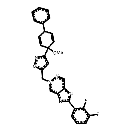 COC1(c2cc(Cn3cc4nc(-c5cccc(F)c5F)nc-4cn3)on2)C=CC(c2ccccc2)C=C1